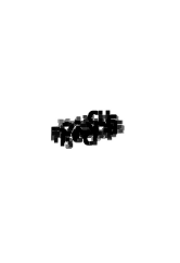 CCC1=C(Cc2ccc(F)c(F)c2)N(C)CN1c1ccc(C(F)(F)F)cc1Cl